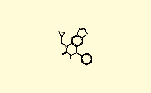 O=C1NC(c2ccccc2)c2cc3c(cc2N1CC1CC1)OCO3